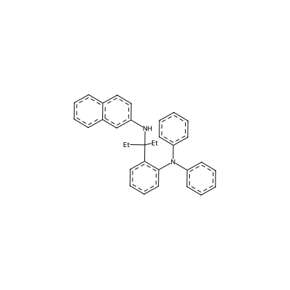 CCC(CC)(Nc1ccc2ccccc2c1)c1ccccc1N(c1ccccc1)c1ccccc1